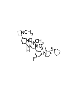 CN1CCCC1c1ccc(Nc2cc(-c3cc(F)cc(N4CCc5c(sc6c5CCCC6)C4=O)c3CO)cn(C)c2=O)nc1